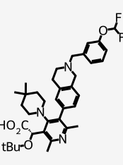 Cc1nc(C)c([C@H](OC(C)(C)C)C(=O)O)c(N2CCC(C)(C)CC2)c1-c1ccc2c(c1)CCN(Cc1cccc(OC(F)F)c1)C2